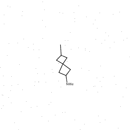 CNC1CC2(CC(C)C2)C1